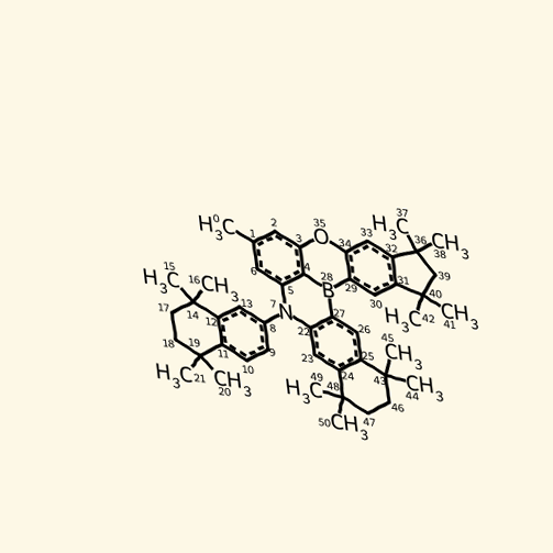 Cc1cc2c3c(c1)N(c1ccc4c(c1)C(C)(C)CCC4(C)C)c1cc4c(cc1B3c1cc3c(cc1O2)C(C)(C)CC3(C)C)C(C)(C)CCC4(C)C